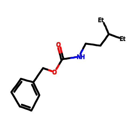 CCC(CC)CCNC(=O)OCc1ccccc1